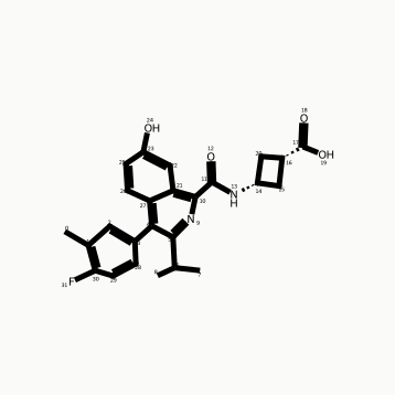 Cc1cc(-c2c(C(C)C)nc(C(=O)N[C@H]3C[C@@H](C(=O)O)C3)c3cc(O)ccc23)ccc1F